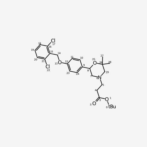 CC(C)(C)OC(=O)CCN1CC(c2ccc(OCc3c(Cl)cccc3Cl)cc2)OC(C)(C)C1